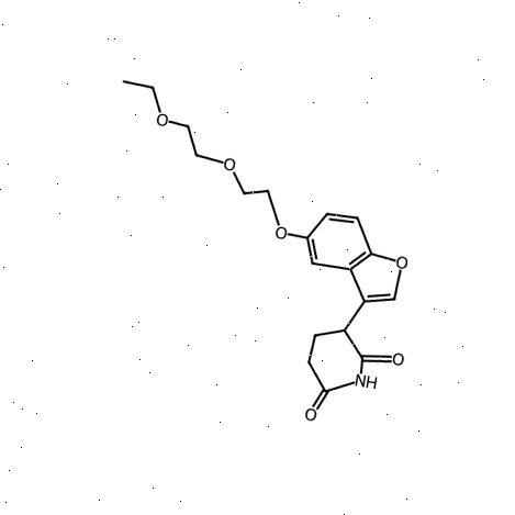 CCOCCOCCOc1ccc2occ(C3CCC(=O)NC3=O)c2c1